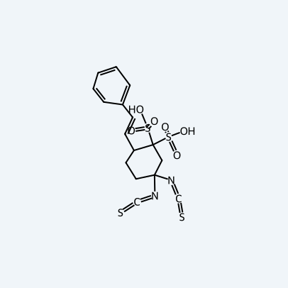 O=S(=O)(O)C1(S(=O)(=O)O)CC(N=C=S)(N=C=S)CCC1C=Cc1ccccc1